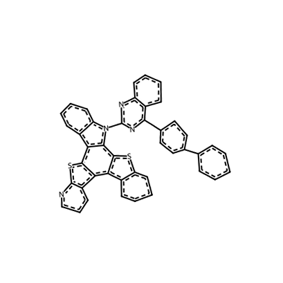 c1ccc(-c2ccc(-c3nc(-n4c5ccccc5c5c6sc7ncccc7c6c6c7ccccc7sc6c54)nc4ccccc34)cc2)cc1